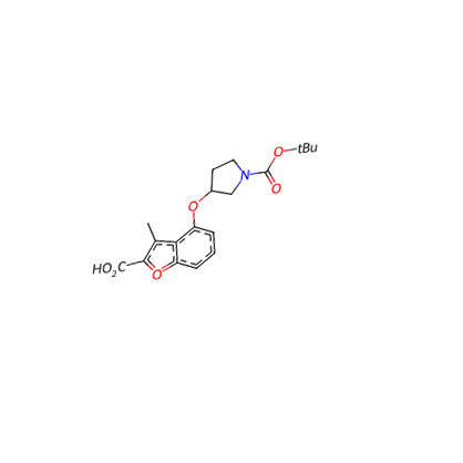 Cc1c(C(=O)O)oc2cccc(OC3CCN(C(=O)OC(C)(C)C)C3)c12